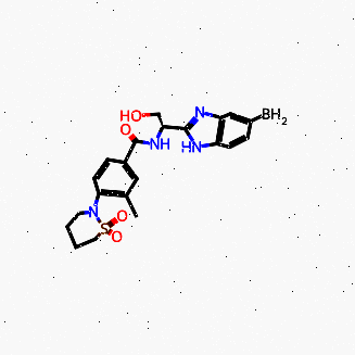 Bc1ccc2[nH]c([C@H](CO)NC(=O)c3ccc(N4CCCCS4(=O)=O)c(C)c3)nc2c1